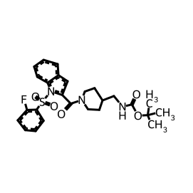 CC(C)(C)OC(=O)NCC1CCN(C(=O)c2cc3ccccc3n2S(=O)(=O)c2ccccc2F)CC1